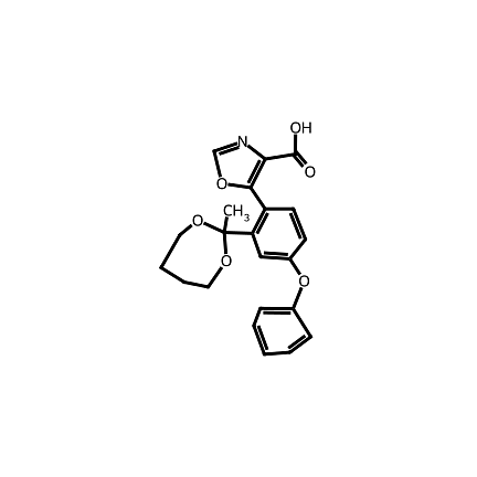 CC1(c2cc(Oc3ccccc3)ccc2-c2ocnc2C(=O)O)OCCCCO1